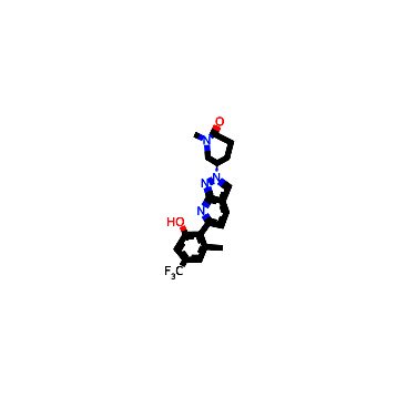 Cc1cc(C(F)(F)F)cc(O)c1-c1ccc2cn([C@H]3CCC(=O)N(C)C3)nc2n1